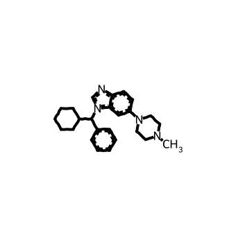 CN1CCN(c2ccc3ncn(C(c4ccccc4)C4CCCCC4)c3c2)CC1